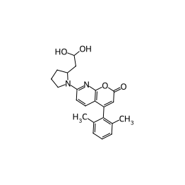 Cc1cccc(C)c1-c1cc(=O)oc2nc(N3CCCC3CC(O)O)ccc12